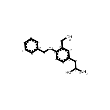 NC(O)Cc1ccc(OCc2ccccc2)c(CO)c1